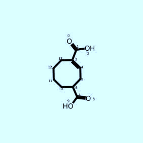 O=C(O)/C1=C/CC(C(=O)O)CCCC1